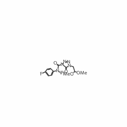 COC(Cn1nnn(C(=O)N(c2ccc(F)cc2)C(C)C)c1=O)OC